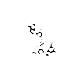 Nc1nc2c(ncn2[C@@H]2O[C@H](CCO)[C@@H](O)[C@H]2OP(=O)(O)OC[C@H]2O[C@@H](n3ccc4c(N)ncnc43)[C@H](O)[C@@H]2O)c(=O)[nH]1